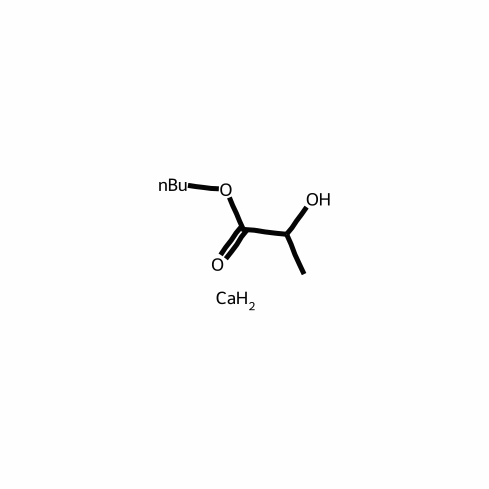 CCCCOC(=O)C(C)O.[CaH2]